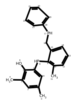 Cc1cc(C)c(O)c(Pc2c(C)cccc2CPc2ccccc2)c1